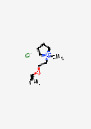 C=COCC[N+]1(C)CCCC1.[Cl-]